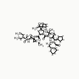 C=C[C@@H]1C[C@]1(NC(=O)[C@@H]1C[C@@]2(CN1C(=O)[C@@H](NC(=O)[C@@H](NC(=O)[C@@H]1CCCCN1CC)C1CCCC1)C(C)(C)C)C(C)(C)C21CCC1)C(=O)NS(=O)(=O)N(CC)CC